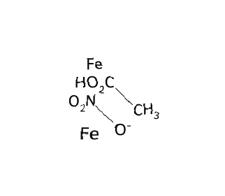 CC(=O)O.O=[N+]([O-])[O-].[Fe].[Fe]